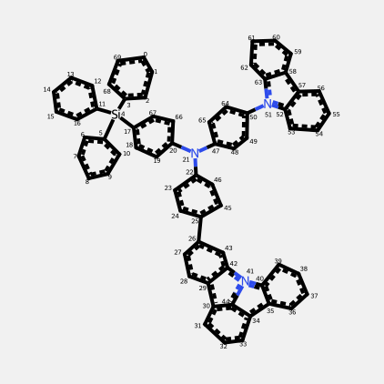 c1ccc([Si](c2ccccc2)(c2ccccc2)c2ccc(N(c3ccc(-c4ccc5c6cccc7c8ccccc8n(c5c4)c76)cc3)c3ccc(-n4c5ccccc5c5ccccc54)cc3)cc2)cc1